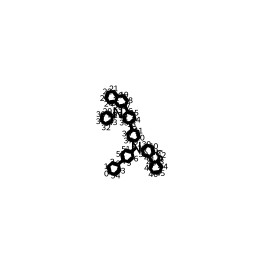 c1ccc(-c2ccc(N(c3ccc(-c4ccc5c6ccc7ccccc7c6n(-c6ccccc6)c5c4)cc3)c3ccc4sc5ccccc5c4c3)cc2)cc1